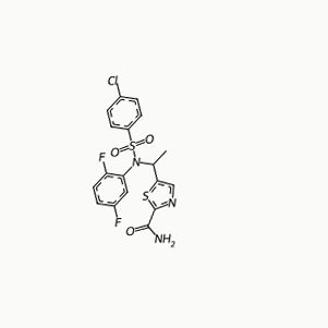 CC(c1cnc(C(N)=O)s1)N(c1cc(F)ccc1F)S(=O)(=O)c1ccc(Cl)cc1